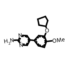 COc1ccc(-c2cnc(N)nc2)cc1OC1CCCC1